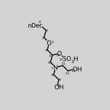 CCCCCCCCCCCCOCC(CN(CCO)CCO)OS(=O)(=O)O